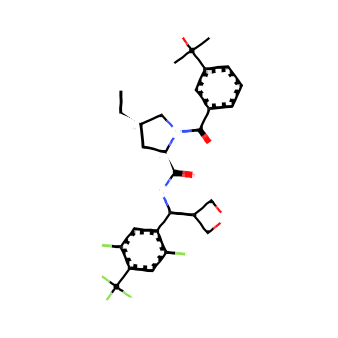 CC[C@@H]1C[C@H](C(=O)NC(c2cc(F)c(C(F)(F)F)cc2F)C2COC2)N(C(=O)c2cccc(C(C)(C)O)c2)C1